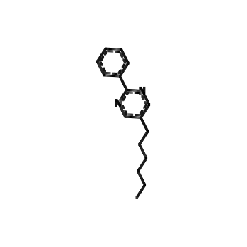 CCCCCCc1cnc(-c2ccccc2)nc1